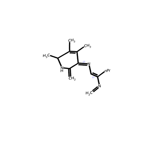 C=N/C(=C/N=C1\C(=C)NC(C)C(C)=C1C)CCC